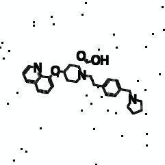 O=CO.c1cnc2c(OC3CCN(CCc4ccc(CN5CCCC5)cc4)CC3)cccc2c1